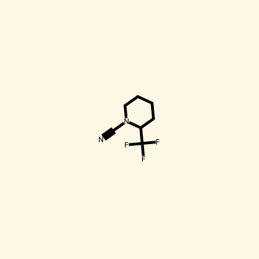 N#CN1CCCCC1C(F)(F)F